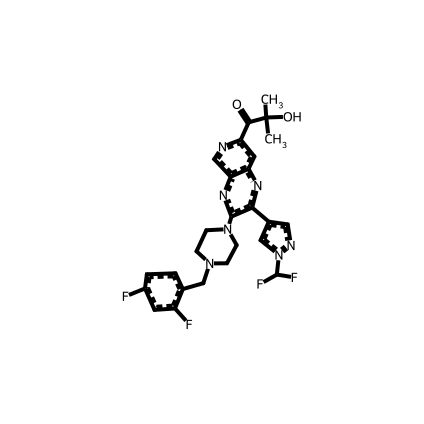 CC(C)(O)C(=O)c1cc2nc(-c3cnn(C(F)F)c3)c(N3CCN(Cc4ccc(F)cc4F)CC3)nc2cn1